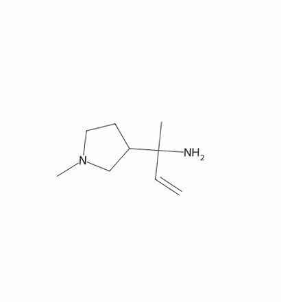 C=CC(C)(N)C1CCN(C)C1